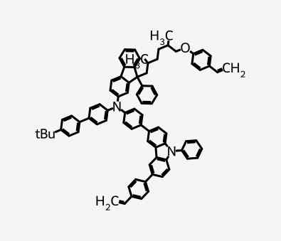 C=Cc1ccc(OCC(C)CCC(C)CC2(c3ccccc3)c3ccccc3-c3ccc(N(c4ccc(-c5ccc(C(C)(C)C)cc5)cc4)c4ccc(-c5ccc6c(c5)c5cc(-c7ccc(C=C)cc7)ccc5n6-c5ccccc5)cc4)cc32)cc1